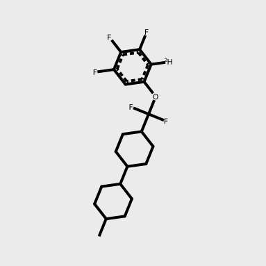 [2H]c1c(OC(F)(F)C2CCC(C3CCC(C)CC3)CC2)cc(F)c(F)c1F